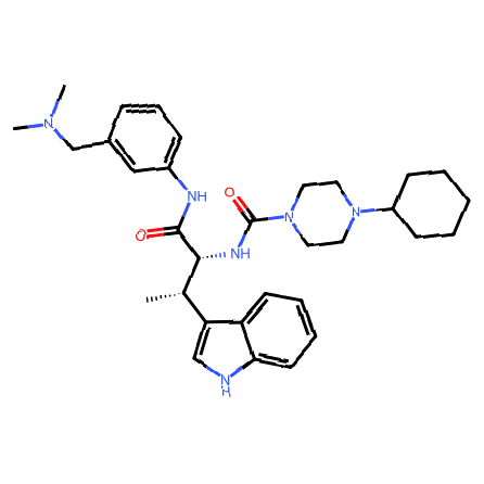 C[C@@H](c1c[nH]c2ccccc12)[C@@H](NC(=O)N1CCN(C2CCCCC2)CC1)C(=O)Nc1cccc(CN(C)C)c1